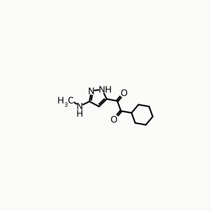 CNc1cc(C(=O)C(=O)C2CCCCC2)[nH]n1